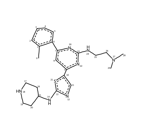 Cc1ccccc1-c1cc(-c2cnc(NC3CCNCC3)s2)nc(NCCN(C)C)n1